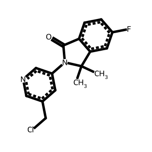 CC1(C)c2cc(F)ccc2C(=O)N1c1cncc(CCl)c1